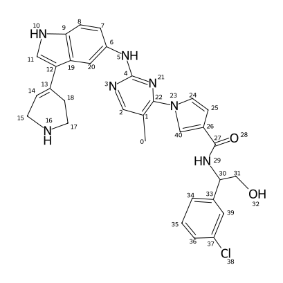 Cc1cnc(Nc2ccc3[nH]cc(C4=CCNCC4)c3c2)nc1-n1ccc(C(=O)NC(CO)c2cccc(Cl)c2)c1